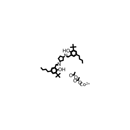 CC(=O)[O-].CC(=O)[O-].CCCCc1cc(C=NC2CCC(N=Cc3cc(CCCC)cc(C(C)(C)C)c3O)C2)c(O)c(C(C)(C)C)c1.[Co+2]